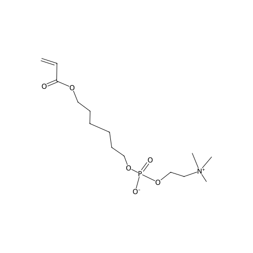 C=CC(=O)OCCCCCCOP(=O)([O-])OCC[N+](C)(C)C